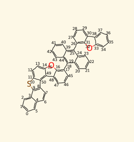 c1ccc2c(c1)ccc1c2sc2ccc3oc4c(-c5c6ccccc6c(-c6cccc7c6oc6ccccc67)c6ccccc56)cccc4c3c21